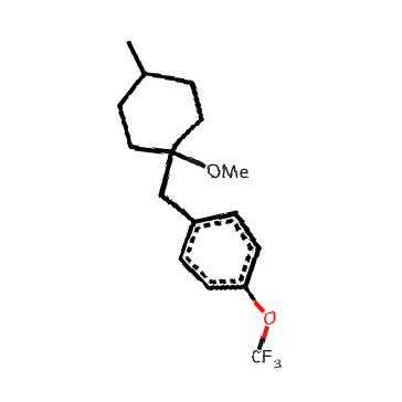 COC1(Cc2ccc(OC(F)(F)F)cc2)CCC(C)CC1